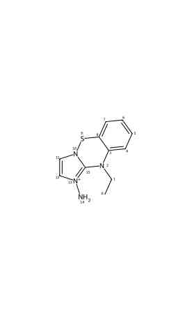 CCN1c2ccccc2Sn2cc[n+](N)c21